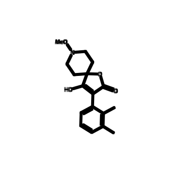 CON1CCC2(CC1)OC(=O)C(c1cccc(C)c1C)=C2O